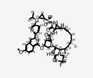 COc1ccc2c(O[C@@H]3C[C@H]4C(=O)N[C@]5(C(=O)NS(=O)(=O)C6CC6)C[C@H]5/C=C\CC[C@H](C)C[C@@H](C)[C@H](N(C(=O)O)[C@H](C)C(F)(F)F)C(=O)N4C3)nc(-c3ccc(OC(C)C)cn3)cc2c1